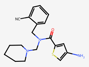 N#Cc1ccccc1CN(CN1CCCCC1)C(=O)c1cc(N)cs1